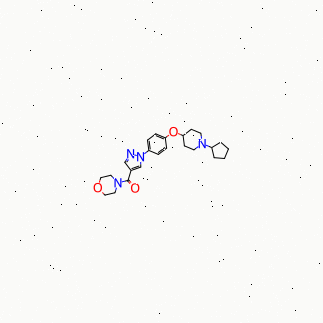 O=C(c1cnn(-c2ccc(OC3CCN(C4CCCC4)CC3)cc2)c1)N1CCOCC1